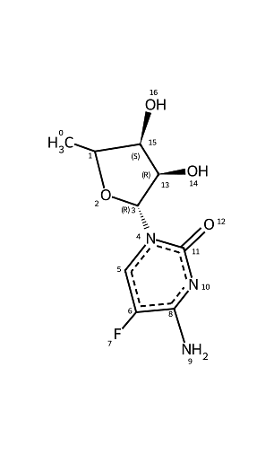 CC1O[C@@H](n2cc(F)c(N)nc2=O)[C@H](O)[C@@H]1O